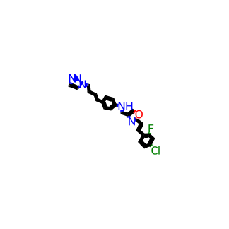 Fc1cc(Cl)ccc1C=Cc1nc(CNc2ccc(CCCCn3ccnn3)cc2)co1